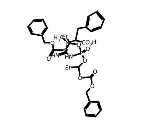 CCC(OC(=O)OCc1ccccc1)OP(=O)(NC(=N)N(C)C(Cc1ccccc1)C(=O)O)OC(CC)OC(=O)OCc1ccccc1